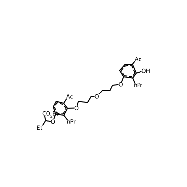 CCCc1c(OCCCOCCCOc2c(C(C)=O)ccc(OC(CC)C(=O)OCC)c2CCC)ccc(C(C)=O)c1O